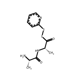 C[C@H](N)C(=O)N[C@@H](C)C(=O)SSc1ccccn1